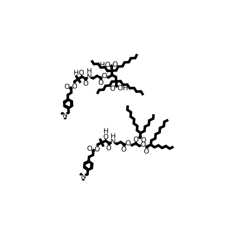 CCCCCCCCC(CCCCCC)(CC(COC(=O)CCNC(=O)[C@H](O)C(C)(C)COC(=O)CCc1ccc(CN(C)C)cc1)C(CCCCCC)(CCCCCCCC)C(=O)O)C(=O)O.CCCCCCCCC(CCCCCC)C(=O)OCC(COC(=O)CCNC(=O)[C@H](O)C(C)(C)COC(=O)CCc1ccc(CN(C)C)cc1)OC(=O)C(CCCCCC)CCCCCCCC